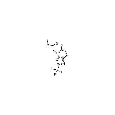 COC(=O)Cn1c(=O)ccn2nc(C(F)(F)F)cc12